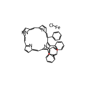 C1=Cc2cc3c(-c4ccccc4)c(-c4ccccc4)c(c(-c4ccccc4)c4nc(cc5ccc(cc1n2)[nH]5)C=C4)n3-c1ccccc1.[Cl][Fe]